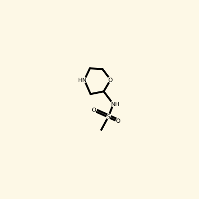 CS(=O)(=O)NC1CNCCO1